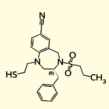 CCCS(=O)(=O)N1Cc2cc(C#N)ccc2N(CCS)C[C@H]1Cc1ccccc1